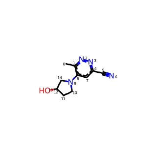 Cc1nnc(C#N)cc1N1CCC(O)C1